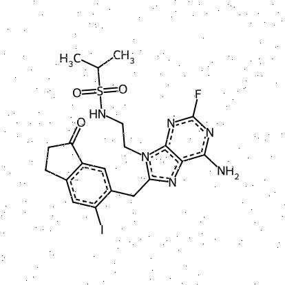 CC(C)S(=O)(=O)NCCn1c(Cc2cc3c(cc2I)CCC3=O)nc2c(N)nc(F)nc21